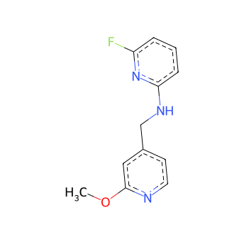 COc1cc(CNc2cccc(F)n2)ccn1